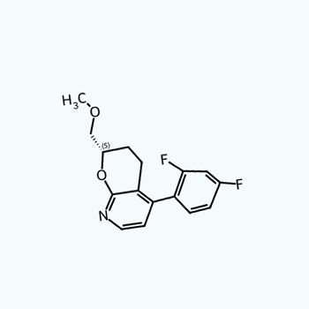 COC[C@@H]1CCc2c(-c3ccc(F)cc3F)ccnc2O1